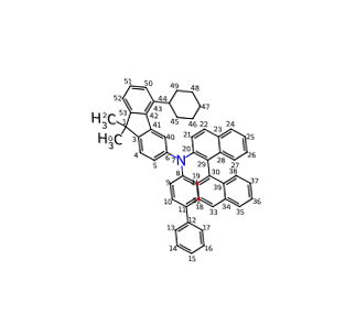 CC1(C)c2ccc(N(c3ccc(-c4ccccc4)cc3)c3ccc4ccccc4c3-c3cccc4ccccc34)cc2-c2c(C3CCCCC3)cccc21